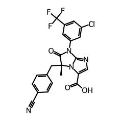 C[C@@]1(Cc2ccc(C#N)cc2)C(=O)N(c2cc(Cl)cc(C(F)(F)F)c2)c2ncc(C(=O)O)n21